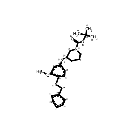 COc1cc(N[C@@H]2CCCN(C(=O)OC(C)(C)C)C2)ccc1SCc1ccccc1